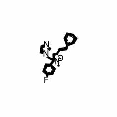 CN1OC(C=Cc2ccccc2)CC1(Cn1ccnc1)c1ccc(F)cc1